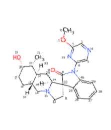 COc1cncc(N2C(=O)[C@@]3(CCN4C[C@@H]5CC[C@H](O)[C@H](C)[C@H]5C[C@H]43)c3ccccc32)n1